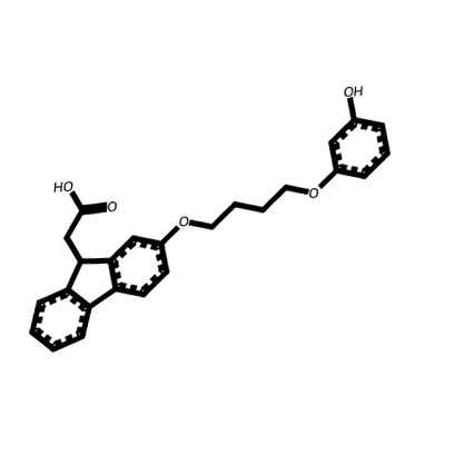 O=C(O)CC1c2ccccc2-c2ccc(OCCCCOc3cccc(O)c3)cc21